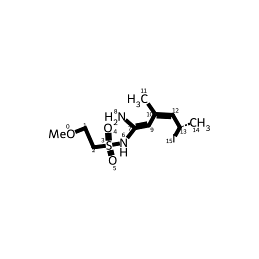 COCCS(=O)(=O)N/C(N)=C/C(C)=C\[C@H](C)I